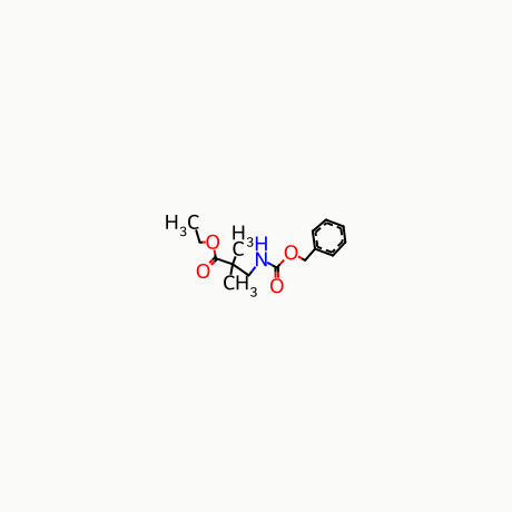 CCOC(=O)C(C)(C)CNC(=O)OCc1ccccc1